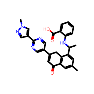 Cc1cc2c(c(C(C)Nc3ccccc3C(=O)O)c1)CC(c1cnc(-c3cnn(C)c3)nc1)=CC2=O